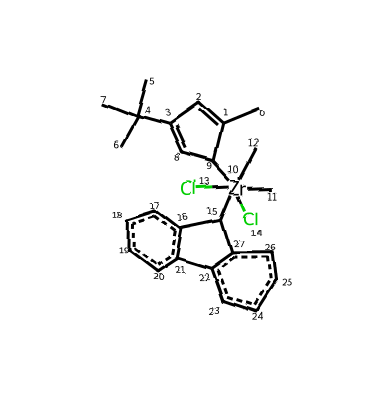 CC1=CC(C(C)(C)C)=C[CH]1[Zr]([CH3])([CH3])([Cl])([Cl])[CH]1c2ccccc2-c2ccccc21